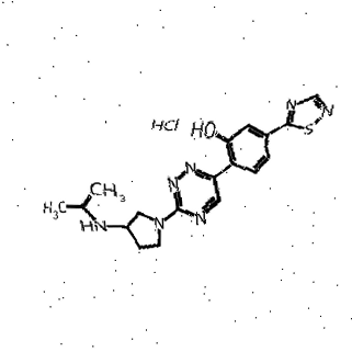 CC(C)NC1CCN(c2ncc(-c3ccc(-c4ncns4)cc3O)nn2)C1.Cl